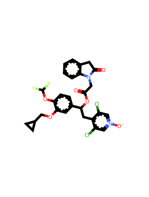 O=C(CN1C(=O)Cc2ccccc21)OC(Cc1c(Cl)c[n+]([O-])cc1Cl)c1ccc(OC(F)F)c(OCC2CC2)c1